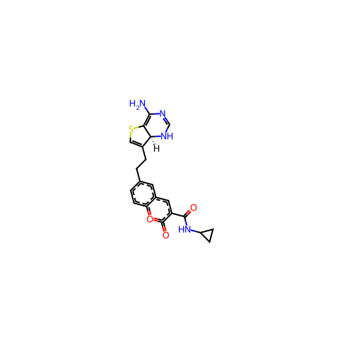 NC1=C2SC=C(CCc3ccc4oc(=O)c(C(=O)NC5CC5)cc4c3)[C@@H]2NC=N1